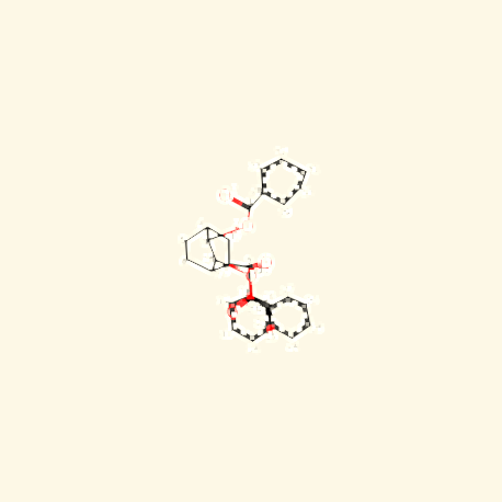 O=C(OC1C2CCC(C(C(=O)c3ccccc3)C2)C1OC(=O)c1ccccc1)c1ccccc1